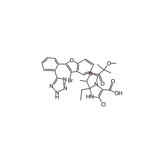 CCC1(C(C)OC(=O)C(C)(C)OC)NC(Cl)=C(C(=O)O)N1Cc1ccc2oc(-c3ccccc3-c3nn[nH]n3)c(Br)c2c1